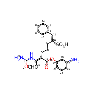 NC(=O)NC(C=O)=C(CCCC(=Cc1ccccc1)S(=O)(=O)O)C(=O)Oc1cccc(N)c1